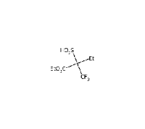 CCOC(=O)C(CC)(C(F)(F)F)S(=O)(=O)O